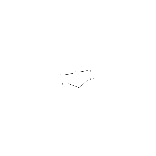 CC[CH]CCCC.[Br][Zn][Br]